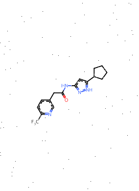 O=C(Cc1ccc(C(F)(F)F)nc1)Nc1cc(C2CCCC2)[nH]n1